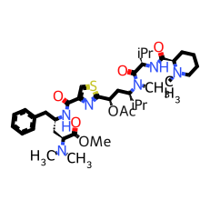 COC(=O)[C@H](C[C@H](Cc1ccccc1)NC(=O)c1csc([C@@H](C[C@H](C(C)C)N(C)C(=O)[C@@H](NC(=O)[C@H]2CCCCN2C)C(C)C)OC(C)=O)n1)N(C)C